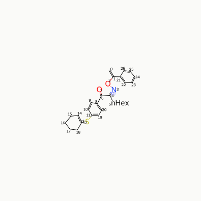 C=C(O/N=C(/CCCCCC)C(=O)c1ccc(SC2=CCCCC2)cc1)c1ccccc1